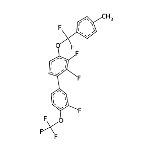 Cc1ccc(C(F)(F)Oc2ccc(-c3ccc(OC(F)(F)F)c(F)c3)c(F)c2F)cc1